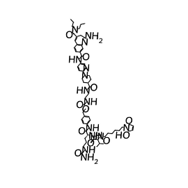 CCCN(CCC)C(=O)C1=Cc2ccc(C(=O)Nc3ccc(N4CCC(C(=O)NCCNC(=O)OCc5ccc(NC(=O)[C@H](CCCNC(N)=O)NC(=O)[C@@H](NC(=O)CCCCCN6C(=O)C=CC6O)C(C)C)cc5)CC4)nc3)cc2N=C(N)C1